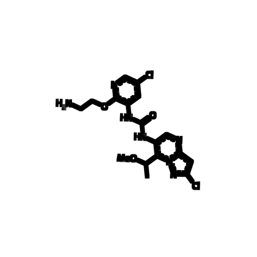 COC(C)c1c(NC(=O)Nc2cc(Cl)cnc2OCCN)cnc2cc(Cl)nn12